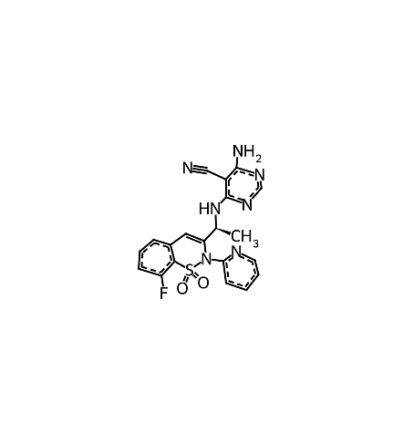 C[C@H](Nc1ncnc(N)c1C#N)C1=Cc2cccc(F)c2S(=O)(=O)N1c1ccccn1